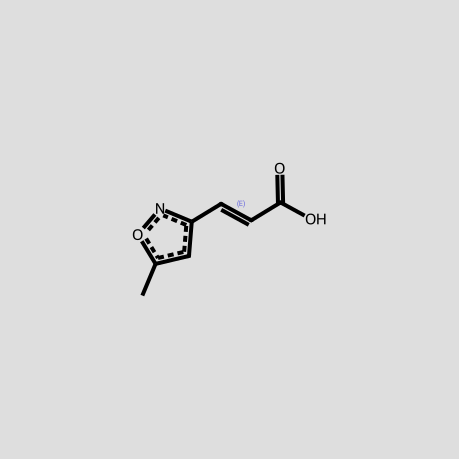 Cc1cc(/C=C/C(=O)O)no1